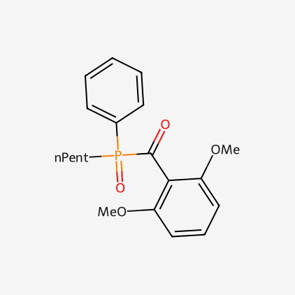 CCCCCP(=O)(C(=O)c1c(OC)cccc1OC)c1ccccc1